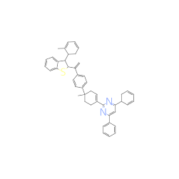 C=C(c1ccc(C2(C)CC=C(c3nc(-c4ccccc4)cc(C4C=CC=CC4)n3)CC2)cc1)C1Sc2ccccc2C1C1CC=CC=C1C